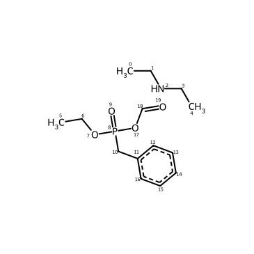 CCNCC.CCOP(=O)(Cc1ccccc1)OC=O